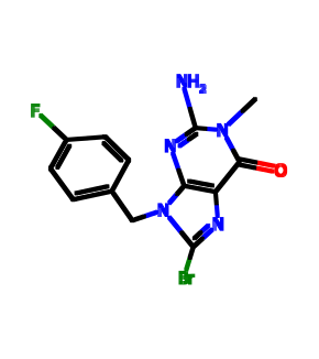 Cn1c(N)nc2c(nc(Br)n2Cc2ccc(F)cc2)c1=O